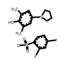 Cc1cc([S+]2CCCC2)cc(C)c1O.O=S(=O)([O-])c1ccc(F)cc1F